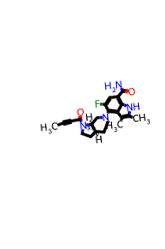 CC#CC(=O)N1CC[C@@H]2CCN(c3c(F)cc(C(N)=O)c4[nH]c(C)c(C)c34)C[C@@H]21